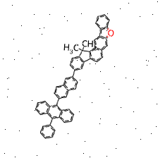 CC1(C)c2ccc(-c3ccc4cc(-c5c6ccccc6c(-c6ccccc6)c6ccccc56)ccc4c3)cc2-c2ccc3cc4oc5ccccc5c4cc3c21